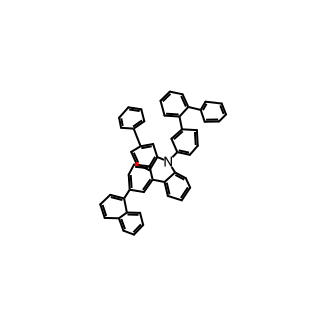 c1ccc(-c2cccc(N(c3cccc(-c4ccccc4-c4ccccc4)c3)c3ccccc3-c3cccc(-c4cccc5ccccc45)c3)c2)cc1